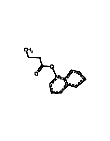 CCCC(=O)O[n+]1cccc2ccccc21